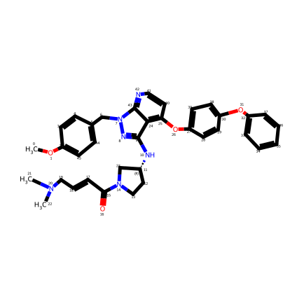 COc1ccc(Cn2nc(N[C@@H]3CCN(C(=O)C=CCN(C)C)C3)c3c(Oc4ccc(Oc5ccccc5)cc4)ccnc32)cc1